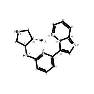 F[C@H]1CNC[C@@H]1Nc1cccc(-c2cnc3cccnn23)n1